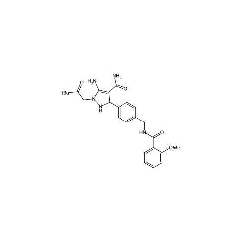 COc1ccccc1C(=O)NCc1ccc(C2NN(CC(=O)C(C)(C)C)C(N)=C2C(N)=O)cc1